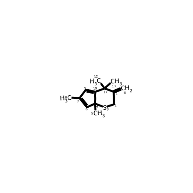 C=C1CSC2(C)C=C(C)C=C2C1(C)C